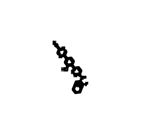 CN(c1ccc(-c2ccc(-c3cnc(C#N)cn3)cc2O)nn1)[C@@H]1CC2CCCC(N2)[C@@H]1F